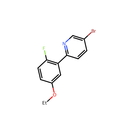 CCOc1ccc(F)c(-c2ccc(Br)cn2)c1